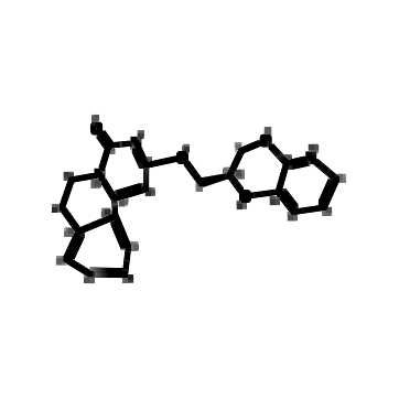 O=c1nc(OC[C@H]2COc3ncccc3O2)cc2n1CCc1ccccc1-2